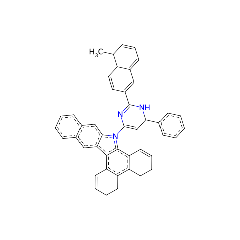 CC1C=CC=C2C=C(C3=NC(n4c5cc6ccccc6cc5c5c6c(c7c(c54)C=CCC7)CCC=C6)=CC(c4ccccc4)N3)C=CC21